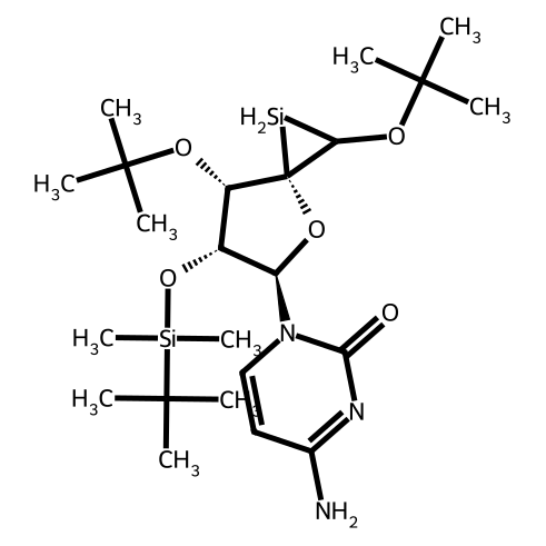 CC(C)(C)OC1[SiH2][C@@]12O[C@@H](n1ccc(N)nc1=O)[C@H](O[Si](C)(C)C(C)(C)C)[C@@H]2OC(C)(C)C